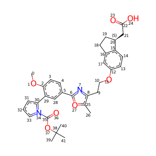 COc1ccc(-c2nc(CCOc3ccc4c(c3)CC[C@H]4CC(=O)O)c(C)o2)cc1-c1cccn1C(=O)OC(C)(C)C